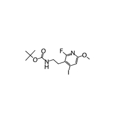 COc1cc(I)c(CCNC(=O)OC(C)(C)C)c(F)n1